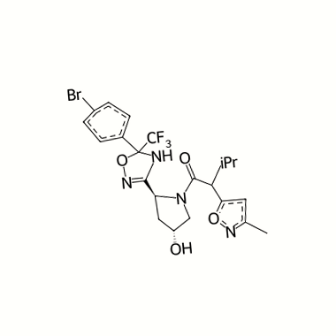 Cc1cc(C(C(=O)N2C[C@H](O)C[C@H]2C2=NOC(c3ccc(Br)cc3)(C(F)(F)F)N2)C(C)C)on1